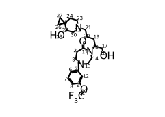 O=C1CCN(c2cccc(OC(F)(F)F)c2)CCN1C(CO)CCCN1CCC2(CC2)[C@H](O)C1